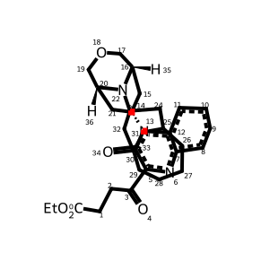 CCOC(=O)CCC(=O)c1nc2ccccc2n([C@H]2C[C@H]3COC[C@@H](C2)N3C2CC3CCCCC(C3)C2)c1=O